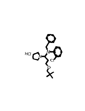 CC(C)(C)COCCC(N1CCCC1)N(Cc1ccccc1)c1ccccc1Cl.Cl